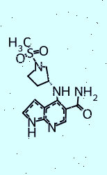 CS(=O)(=O)N1CC[C@@H](Nc2c(C(N)=O)cnc3[nH]ccc23)C1